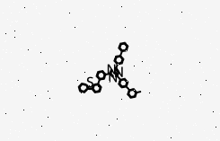 Cc1cccc(-c2ccc(-c3nc(-c4ccc(-c5ccccc5)cc4)nc(-c4cccc(-c5cccc6c5sc5ccccc56)c4)n3)cc2)c1